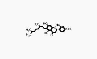 CC(C)=CCCC(C)=CCc1c(O)cc2c(c1O)C(=O)C[C@@H](c1ccc(O)cc1O)O2